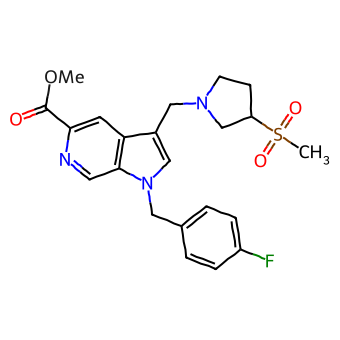 COC(=O)c1cc2c(CN3CCC(S(C)(=O)=O)C3)cn(Cc3ccc(F)cc3)c2cn1